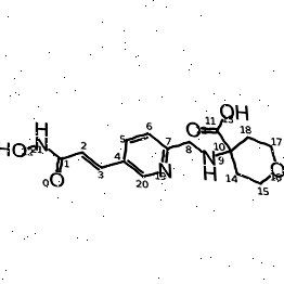 O=C(C=Cc1ccc(CNC2(C(=O)O)CCOCC2)nc1)NO